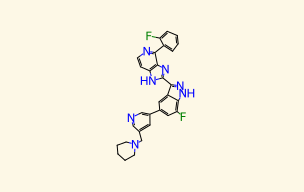 Fc1ccccc1-c1nccc2[nH]c(-c3n[nH]c4c(F)cc(-c5cncc(CN6CCCCC6)c5)cc34)nc12